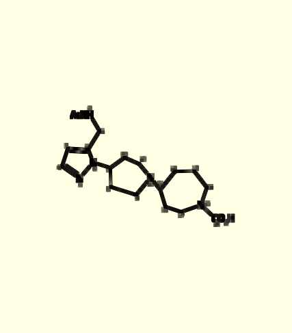 CC(=O)NCc1ccnn1C1CCN(C2CCCN(C(=O)O)CC2)CC1